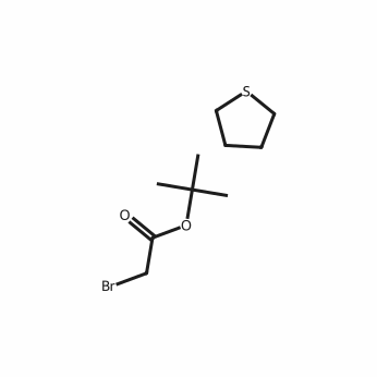 C1CCSC1.CC(C)(C)OC(=O)CBr